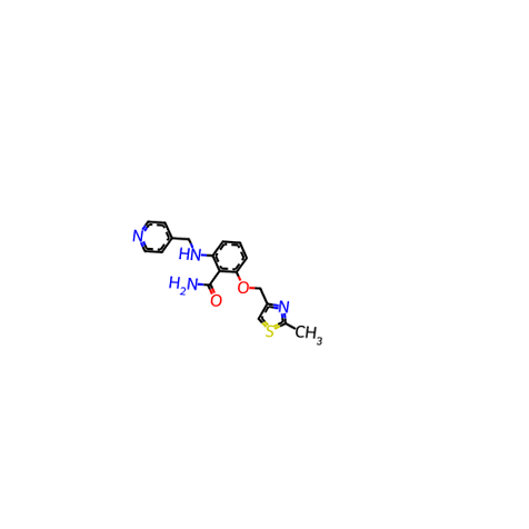 Cc1nc(COc2cccc(NCc3ccncc3)c2C(N)=O)cs1